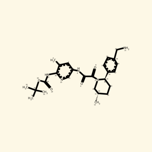 Cc1cc(NC(=O)C(=O)N2C[C@@H](C)CC[C@@H]2c2ccc(CN)cc2)cnc1NC(=O)OC(C)(C)C